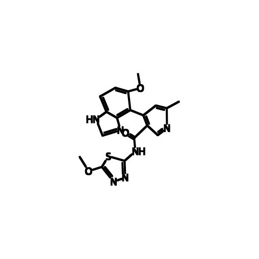 COc1nnc(NC(=O)c2cnc(C)cc2-c2c(OC)ccc3[nH]cnc23)s1